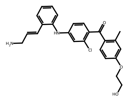 Cc1cc(OCCO)ccc1C(=O)c1ccc(Nc2ccccc2C=CCN)cc1Cl